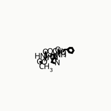 CC(=O)O[C@@H]1NC(=O)[C@H]1NC(=O)[C@](C)(NC(=O)OCc1ccccc1)c1cccnc1